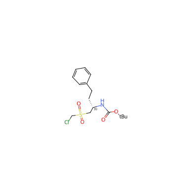 CC(C)(C)OC(=O)N[C@@H](CCc1ccccc1)CS(=O)(=O)CCl